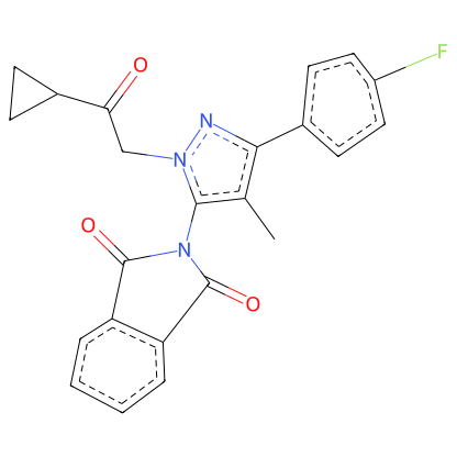 Cc1c(-c2ccc(F)cc2)nn(CC(=O)C2CC2)c1N1C(=O)c2ccccc2C1=O